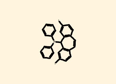 Ic1ccc2c(c1)C(P(c1ccccc1)c1ccccc1)c1cc(I)ccc1C=C2